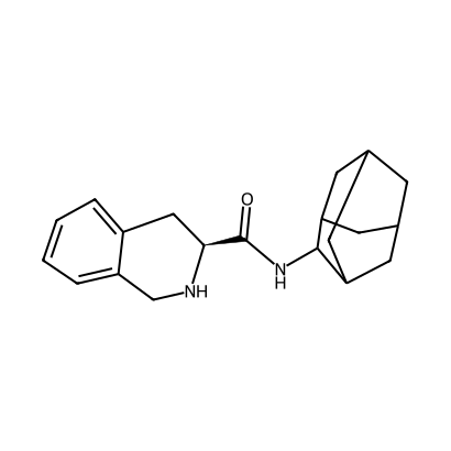 O=C(NC1C2CC3CC(C2)CC1C3)[C@@H]1Cc2ccccc2CN1